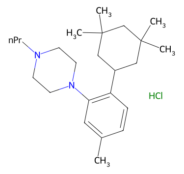 CCCN1CCN(c2cc(C)ccc2C2CC(C)(C)CC(C)(C)C2)CC1.Cl